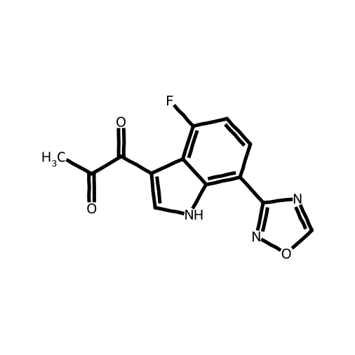 CC(=O)C(=O)c1c[nH]c2c(-c3ncon3)ccc(F)c12